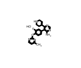 Cc1ccnc(Oc2ccc(-c3c(N)ncnc3C3=CCNCC3)cc2F)n1.Cl